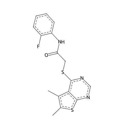 Cc1sc2ncnc(SCC(=O)Nc3ccccc3F)c2c1C